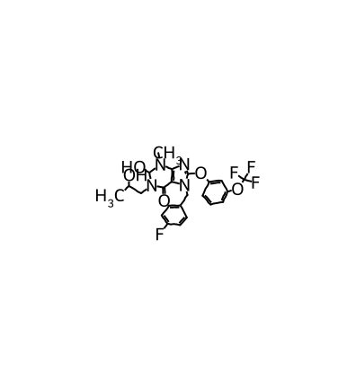 CC(O)CN1C(=O)c2c(nc(Oc3cccc(OC(F)(F)F)c3)n2Cc2ccc(F)cc2)N(C)C1O